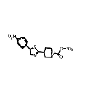 CC(C)(C)OC(=O)N1CCC(C2=NCC(c3ccc([N+](=O)[O-])cc3)S2)CC1